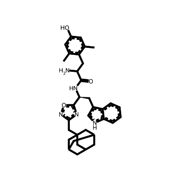 Cc1cc(O)cc(C)c1CC(N)C(=O)N[C@@H](Cc1c[nH]c2ccccc12)c1nc(CC23CC4CC(CC(C4)C2)C3)no1